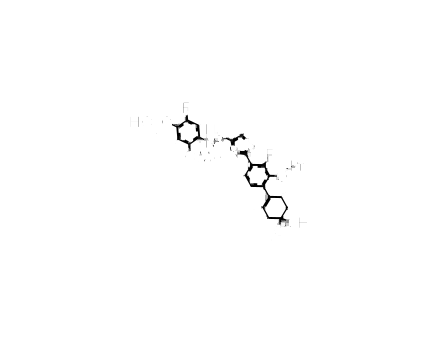 COc1cc(C(=O)O)c(F)cc1NSc1csc(-c2ccc(C3=CCC(C)(C)CC3)c(OC(C)C)c2F)n1